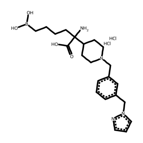 Cl.Cl.NC(CCCCB(O)O)(C(=O)O)C1CCN(Cc2cccc(Cn3cccn3)c2)CC1